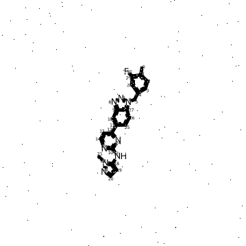 Cc1ccc(Cn2nnc3cc(-c4ccnc(Nc5ccnn5C)n4)ccc32)cc1F